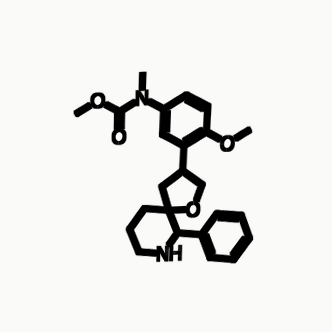 COC(=O)N(C)c1ccc(OC)c(C2COC3(CCCNC3c3ccccc3)C2)c1